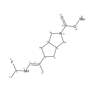 C/C(=C\NC(C)F)C1CC2CN(C(=O)OC(C)(C)C)CC2C1